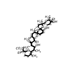 CC[C@@H](C(=O)[C@@H](C)[C@@H](O)[C@H](C)[C@@H]1O[C@@H]([C@@H](CC)C(=O)O)CC[C@@H]1C)[C@H]1O[C@@]2(C=C[C@H](O)[C@]3(CC[C@@](C)([C@H]4CC[C@](O)(CC)[C@H](C)O4)O3)O2)[C@H](C)C[C@@H]1C